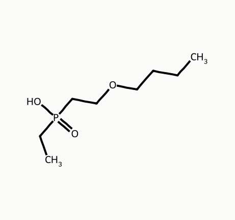 CCCCOCCP(=O)(O)CC